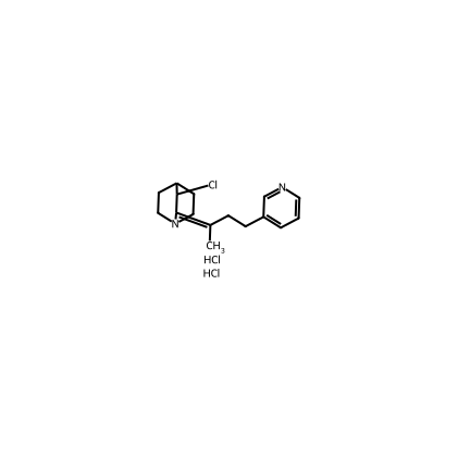 CC(CCc1cccnc1)=C1C(Cl)C2CCN1CC2.Cl.Cl